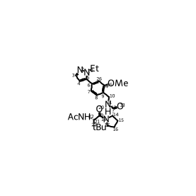 CCn1nccc1-c1ccc(CNC(=O)[C@@H]2CCCN2C(=O)[C@@H](NC(C)=O)C(C)(C)C)c(OC)c1